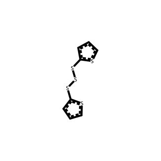 c1csc(SSSc2cccs2)c1